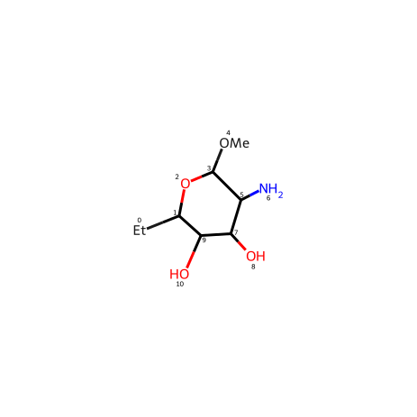 CCC1OC(OC)C(N)C(O)C1O